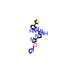 c1cc(-c2ccsc2)c2nc(-c3n[nH]c4ccc(-c5cncc(OCCN6CCCC6)c5)nc34)[nH]c2c1